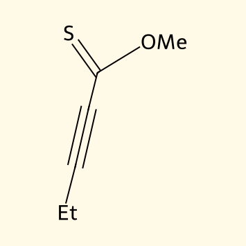 CCC#CC(=S)OC